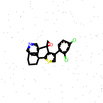 Clc1ccc(-c2csc(C3CCCCC3)c2C2(c3cccnc3)CO2)c(Cl)c1